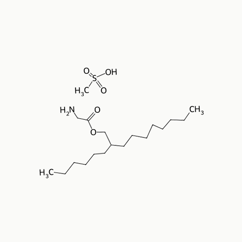 CCCCCCCCC(CCCCCC)COC(=O)CN.CS(=O)(=O)O